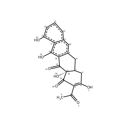 CC(=O)C1=C(O)CC2Cc3cc4cccc(O)c4c(O)c3C(=O)[C@]2(O)C1=O